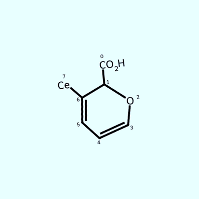 O=C(O)C1OC=CC=[C]1[Ce]